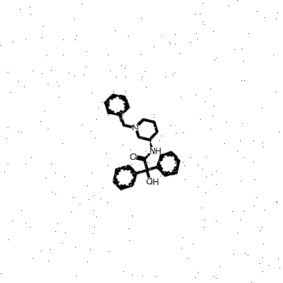 O=C(N[C@@H]1CCCN(Cc2ccccc2)C1)C(O)(c1ccccc1)c1ccccc1